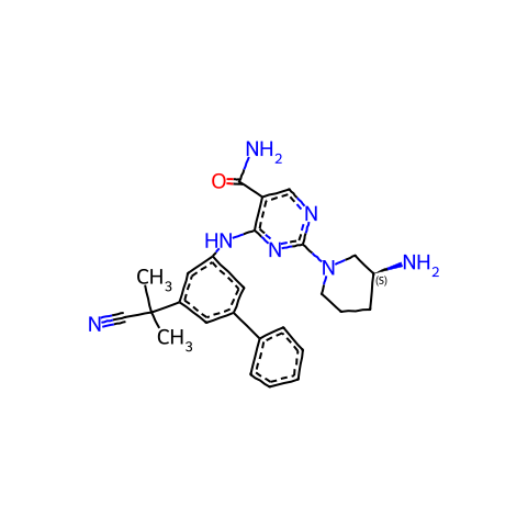 CC(C)(C#N)c1cc(Nc2nc(N3CCC[C@H](N)C3)ncc2C(N)=O)cc(-c2ccccc2)c1